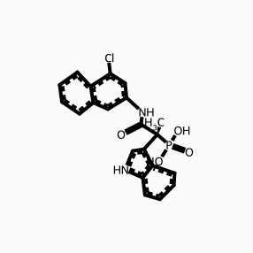 C[C@](C(=O)Nc1cc(Cl)c2ccccc2c1)(c1c[nH]c2ccccc12)P(=O)(O)O